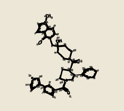 Cn1ccc2c(=O)n(CC3(O)CCN(C(=O)[C@@H]4CCN(C(=O)c5ccc(-c6ccsc6)s5)C[C@H]4c4ccccc4)CC3)cnc21